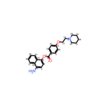 Nc1ccc(OC(=O)c2ccc(OCCN3CCCCC3)cc2)c2ccccc12